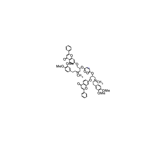 COc1ccc(CCN(C)CC(COc2ccc3c(=O)cc(-c4ccccc4)oc3c2)OC(=O)/C=C\C(=O)OC(COc2ccc3c(=O)cc(-c4ccccc4)oc3c2)CN(C)CCc2ccc(OC)c(OC)c2)cc1OC